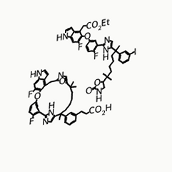 CC1(C)CCCCC(C)(c2cccc(CCC(=O)O)c2)c2cnc([nH]2)-c2cc(ccc2F)Oc2c(F)cc3[nH]ccc3c2Cc2ncc1o2.CCOC(=O)Cc1c(Oc2ccc(F)c(-c3ncc(C(C)(CCCCC(C)(C)C4CNC(=O)O4)c4cccc(I)c4)[nH]3)c2)c(F)cc2[nH]ccc12